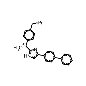 CC(C)Cc1ccc([C@@H](C)c2nc(-c3ccc(-c4ccccc4)cc3)c[nH]2)cc1